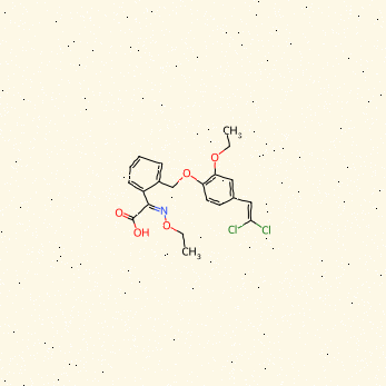 CCON=C(C(=O)O)c1ccccc1COc1ccc(C=C(Cl)Cl)cc1OCC